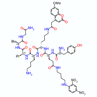 CCC(C)[C@H](NC(=O)[C@@H](NC(=O)[C@H](CCCCN)NC(=O)[C@H](CCCCNC(=O)Cc1cc(=O)oc2cc(OC)ccc12)NC(=O)[C@H](CCC(=O)NCCCCNc1ccc([N+](=O)[O-])cc1[N+](=O)[O-])NC(=O)[C@@H](N)Cc1ccc(O)cc1)C(C)C)C(=O)NCC(N)=O